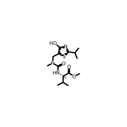 COC(=O)[C@@H](NC(=O)N(C)Cc1sc(C(C)C)nc1O)C(C)C